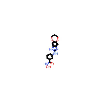 O=C(NO)c1cccc(Nc2nc3cc4c(cc3[nH]2)OCCCO4)c1